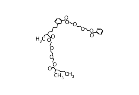 CCCCC(CC)C(=O)OCCOCCOCCOC(=O)C(CC)CCCCc1cccc(C(=O)OCCOCCOCCOC(=O)c2ccccc2)c1